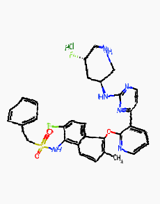 Cc1ccc2c(NS(=O)(=O)Cc3ccccc3)c(F)ccc2c1Oc1ncccc1-c1ccnc(N[C@@H]2CNC[C@@H](F)C2)n1.Cl